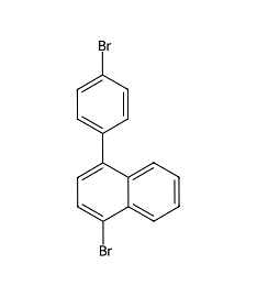 Brc1ccc(-c2ccc(Br)c3ccccc23)cc1